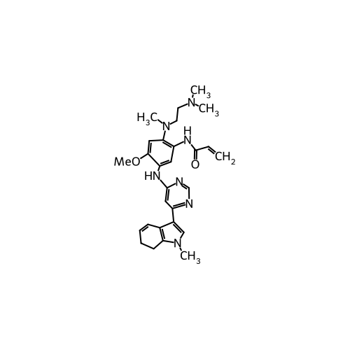 C=CC(=O)Nc1cc(Nc2cc(-c3cn(C)c4c3C=CCC4)ncn2)c(OC)cc1N(C)CCN(C)C